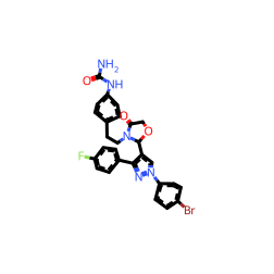 NC(=O)Nc1ccc(CCN2C(=O)COC2c2cn(-c3ccc(Br)cc3)nc2-c2ccc(F)cc2)cc1